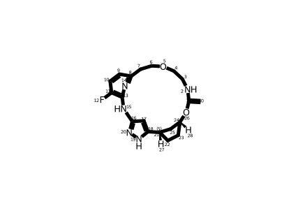 C=C1NCCOCCc2ccc(F)c(n2)Nc2cc([nH]n2)[C@H]2CC[C@H](C2)O1